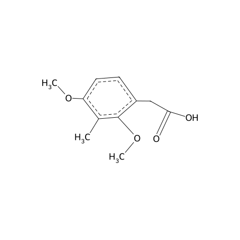 COc1ccc(CC(=O)O)c(OC)c1C